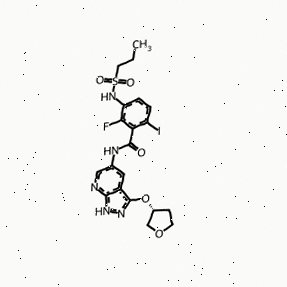 CCCS(=O)(=O)Nc1ccc(I)c(C(=O)Nc2cnc3[nH]nc(O[C@@H]4CCOC4)c3c2)c1F